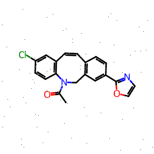 CC(=O)N1Cc2cc(-c3ncco3)ccc2/C=C\c2cc(Cl)ccc21